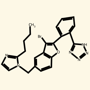 CCCCc1nccn1Cc1ccc2oc(-c3ccccc3-c3nnn[nH]3)c(Br)c2c1